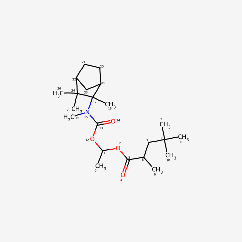 CC(OC(=O)C(C)CC(C)(C)C)OC(=O)N(C)C1(C)C2CCC(C2)C1(C)C